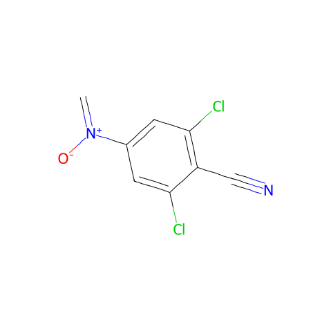 C=[N+]([O-])c1cc(Cl)c(C#N)c(Cl)c1